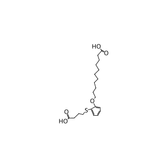 O=C(O)CCCCCCCCCCOc1ccccc1SCCCC(=O)O